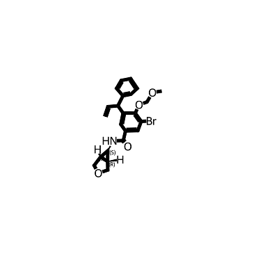 C=CC(c1ccccc1)c1cc(C(=O)N[C@@H]2[C@@H]3COC[C@@H]32)cc(Br)c1OCOC